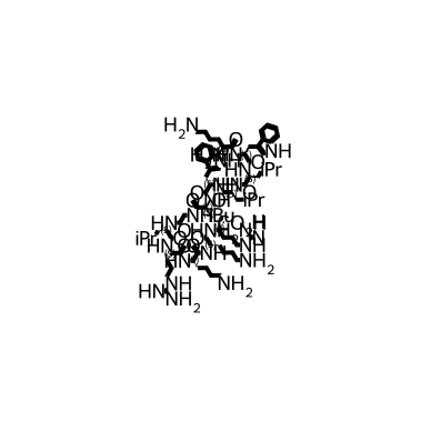 CC[C@H](C)[C@H](NC(=O)[C@H](Cc1c[nH]c2ccccc12)NC(=O)[C@H](CC(C)C)NC(=O)[C@H](CC(C)C)NC(=O)[C@H](Cc1c[nH]c2ccccc12)NC(=O)[C@@H](N)CCCCN)C(=O)NCC(=O)N[C@@H](CC(C)C)C(=O)N[C@@H](CCCNC(=N)N)C(=O)N[C@@H](CCCCN)C(=O)N[C@@H](CCCCN)C(=O)N[C@@H](CCCNC(=N)N)C(=O)O